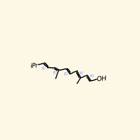 CC(/C=C/O)=C\C=C\C(C)=C\C=C\C(C)C